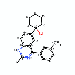 Cc1nc(-c2cccc(C(F)(F)F)c2)c2cc(C3(O)CCCCC3)ccc2n1